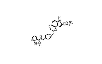 CCOC(=O)c1cc2c3c(ccc2[nH]1)OCC(CN1CCC(CNC(=O)c2cccnc2N)CC1)O3